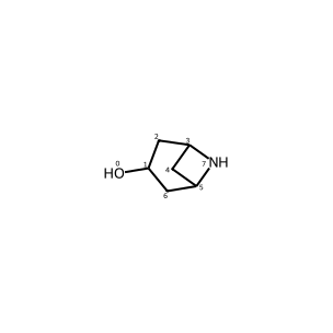 OC1CC2CC(C1)N2